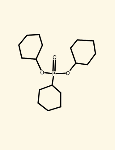 O=P(OC1CCCCC1)(OC1CCCCC1)C1CCCCC1